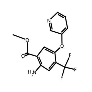 COC(=O)c1cc(Oc2cccnc2)c(C(F)(F)F)cc1N